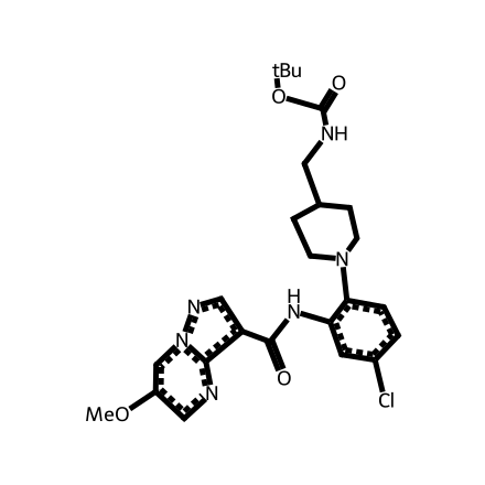 COc1cnc2c(C(=O)Nc3cc(Cl)ccc3N3CCC(CNC(=O)OC(C)(C)C)CC3)cnn2c1